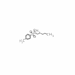 C=CCCCN(C)S(=O)(=O)c1ccc(C)cc1